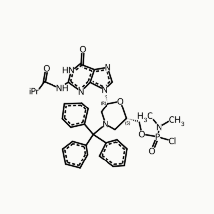 CC(C)C(=O)Nc1nc2c(ncn2[C@H]2CN(C(c3ccccc3)(c3ccccc3)c3ccccc3)C[C@@H](COP(=O)(Cl)N(C)C)O2)c(=O)[nH]1